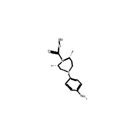 C[C@@H]1CN(c2ccc(N)cc2)C[C@H](C)N1C(=O)OC(C)(C)C